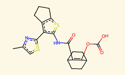 Cc1csc(-c2c(NC(=O)C3=C(OC(=O)O)C4CCC3CC4)sc3c2CCC3)n1